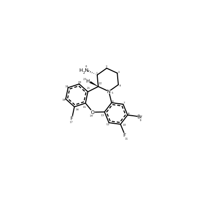 N[C@@H]1CCCN2c3cc(Br)c(F)cc3Oc3c(F)cccc3[C@H]12